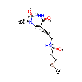 CC(=O)SCCC(=O)NCC#Cc1cn(C(C)(C)C)c(=O)[nH]c1=O